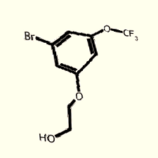 OCCOc1cc(Br)cc(OC(F)(F)F)c1